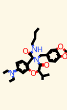 CCCCNC(=O)C1c2ccc(N(CC)CC)cc2OC(C(C)C)C(=O)N1Cc1ccc2c(c1)OCO2